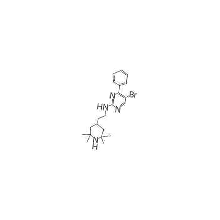 CC1(C)CC(CCNc2ncc(Br)c(-c3ccccc3)n2)CC(C)(C)N1